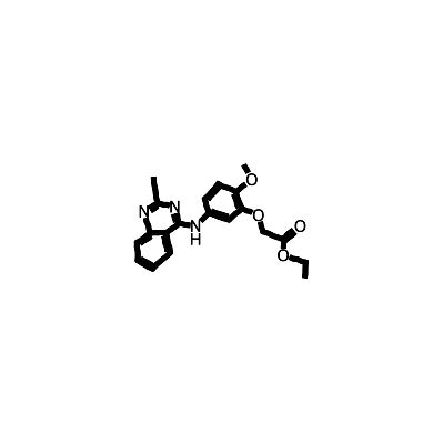 CCOC(=O)COc1cc(Nc2nc(C)nc3ccccc23)ccc1OC